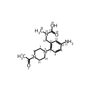 CC(=O)N1CCN(c2ccc(N)cc2CN(C)C(=O)O)CC1